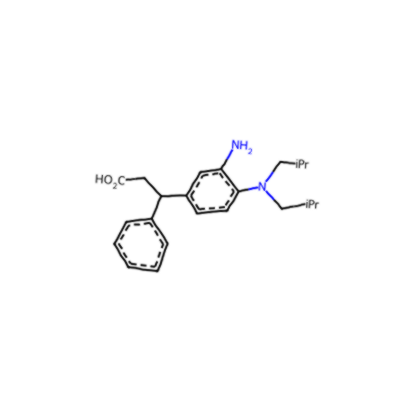 CC(C)CN(CC(C)C)c1ccc(C(CC(=O)O)c2ccccc2)cc1N